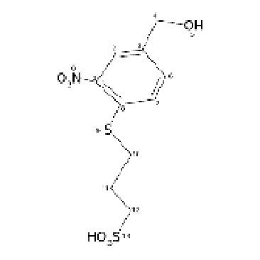 O=[N+]([O-])c1cc(CO)ccc1SCCCS(=O)(=O)O